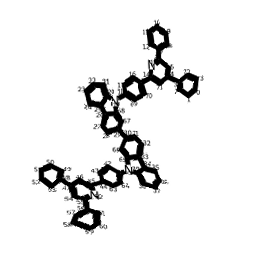 c1ccc(-c2cc(-c3ccccc3)nc(-c3ccc(-n4c5ccccc5c5ccc(-c6ccc7c8ccccc8n(-c8ccc(-c9cc(-c%10ccccc%10)cc(-c%10ccccc%10)n9)cc8)c7c6)cc54)cc3)c2)cc1